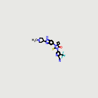 CN1CCC(c2nc3cc(N4C(=S)N(c5cnc(C#N)c(C(F)(F)F)c5)C(=O)C45CCC5)ccc3[nH]2)CC1